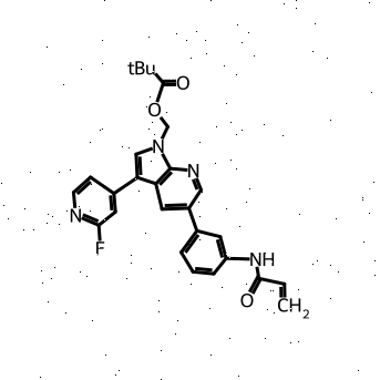 C=CC(=O)Nc1cccc(-c2cnc3c(c2)c(-c2ccnc(F)c2)cn3COC(=O)C(C)(C)C)c1